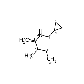 C=C(NCC1CC1)C(C)CC